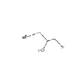 CCCCC(O)C[S]